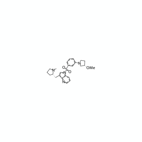 CO[C@H]1CCN(c2cccc(S(=O)(=O)n3cc(C[C@@H]4CCCN4C)c4ncccc43)c2)C1